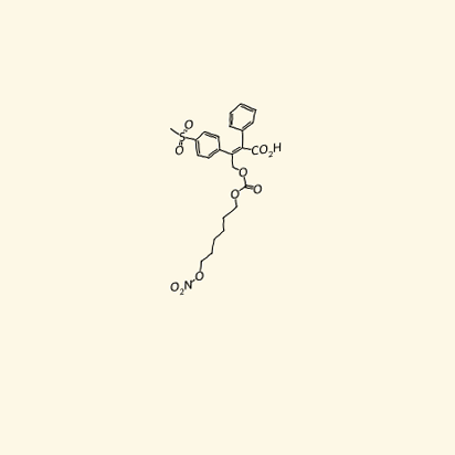 CS(=O)(=O)c1ccc(C(COC(=O)OCCCCCCO[N+](=O)[O-])=C(C(=O)O)c2ccccc2)cc1